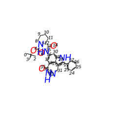 CC(C)(C)OC(=O)N1CCCC[C@@H]1C(=O)Nc1cc2c3c(c(-c4ccccc4)[nH]c3c1)C=NNC2=O